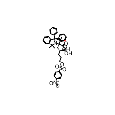 CC(C)(C)N(C(c1ccccc1)(c1ccccc1)c1ccccc1)[C@@](C[C@H](CCCOS(=O)(=O)c1ccc([N+](=O)[O-])cc1)C(=O)O)(C(=O)O)C(C)(C)C